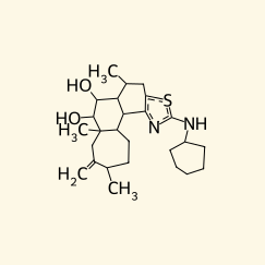 C=C1CC2(C)C(O)C(O)C3C(C)Cc4sc(NC5CCCCC5)nc4C3C2CCC1C